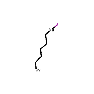 CC(C)CCCC[CH2][Mg][I]